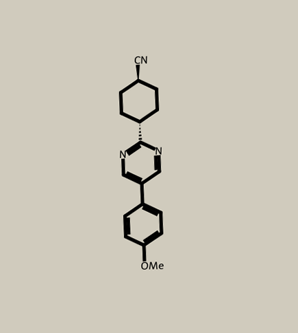 COc1ccc(-c2cnc([C@H]3CC[C@H](C#N)CC3)nc2)cc1